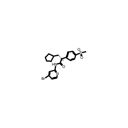 CS(=O)(=O)c1ccc([C@@H](CC2CCCC2)C(=O)Nc2cc(Br)ccn2)cc1